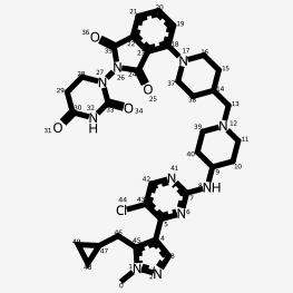 Cn1ncc(-c2nc(NC3CCN(CC4CCN(c5cccc6c5C(=O)N(N5CCC(=O)NC5=O)C6=O)CC4)CC3)ncc2Cl)c1CC1CC1